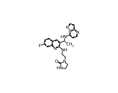 C[C@H](Nc1ccnc2ccnn12)c1cc2ccc(F)cc2nc1NCCN1CCNC1=O